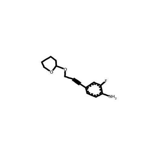 Nc1ccc(C#CCOC2CCCCO2)cc1F